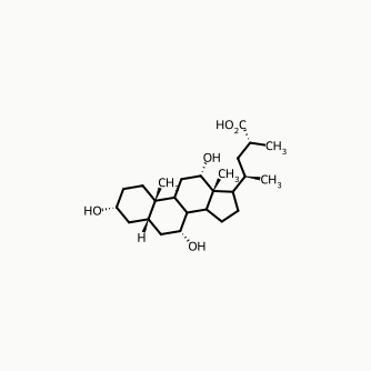 C[C@H](C[C@@H](C)C1CCC2C3C(C[C@H](O)[C@@]21C)[C@@]1(C)CC[C@@H](O)C[C@H]1C[C@H]3O)C(=O)O